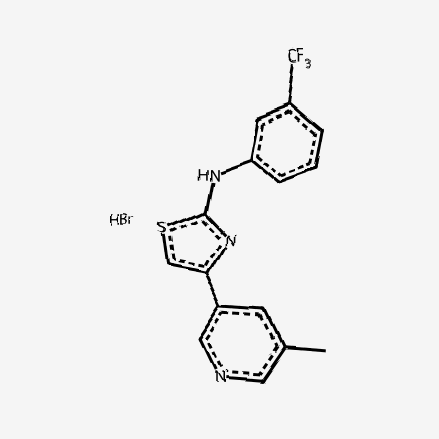 Br.Cc1cncc(-c2csc(Nc3cccc(C(F)(F)F)c3)n2)c1